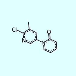 Cc1cc(-n2ccccc2=O)cnc1Cl